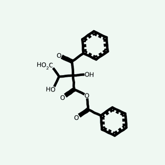 O=C(OC(=O)C(O)(C(=O)c1ccccc1)C(O)C(=O)O)c1ccccc1